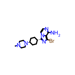 CN1CCN([C@H]2CC[C@@H](c3nc(Br)c4c(N)nccn43)CC2)CC1